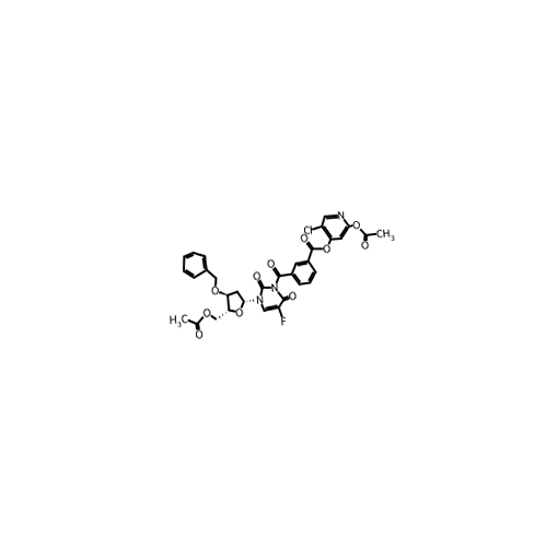 CC(=O)OC[C@H]1O[C@@H](n2cc(F)c(=O)n(C(=O)c3cccc(C(=O)Oc4cc(OC(C)=O)ncc4Cl)c3)c2=O)C[C@@H]1OCc1ccccc1